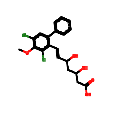 COc1c(Cl)cc(-c2ccccc2)c(C=CC(O)CC(O)CC(=O)O)c1Cl